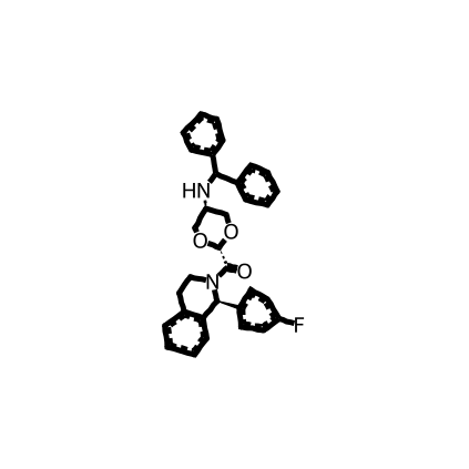 O=C([C@H]1OC[C@@H](NC(c2ccccc2)c2ccccc2)CO1)N1CCc2ccccc2[C@@H]1c1ccc(F)cc1